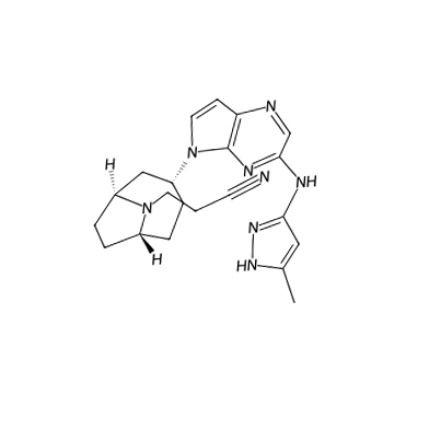 Cc1cc(Nc2cnc3ccn([C@@H]4CC[C@@H]5CC[C@@H](C4)N5CCC#N)c3n2)n[nH]1